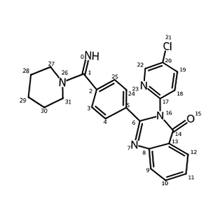 N=C(c1ccc(-c2nc3ccccc3c(=O)n2-c2ccc(Cl)cn2)cc1)N1CCCCC1